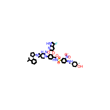 CC(C)c1ccccc1[C@H]1CCC[C@H]1N1CC2(CCN(c3ccc(C(=O)NS(=O)(=O)c4ccc(NC[C@H]5CC[C@](C)(O)CC5)c([N+](=O)[O-])c4)c(Oc4cc5c(F)c[nH]c5nc4ON)c3)CC2)C1